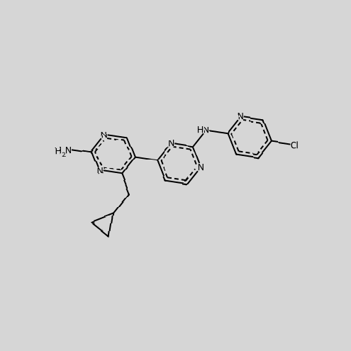 Nc1ncc(-c2ccnc(Nc3ccc(Cl)cn3)n2)c(CC2CC2)n1